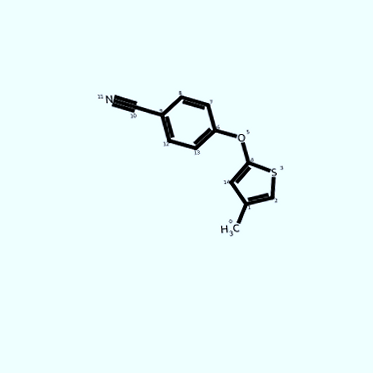 Cc1csc(Oc2ccc(C#N)cc2)c1